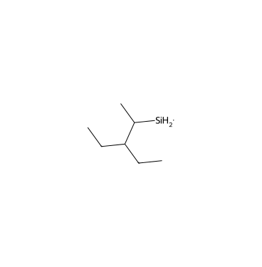 CCC(CC)C(C)[SiH2]